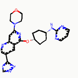 c1cnc(N[C@H]2CC[C@@H](Oc3nc(N4CCOCC4)cc4ncc(-c5nnc[nH]5)cc34)CC2)nc1